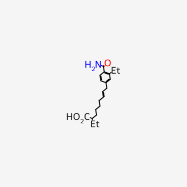 CCc1cc(CC=CCCCCC(CC)C(=O)O)ccc1C(N)=O